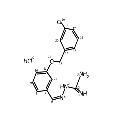 Cl.N=C(N)N/N=C\c1cccc(OCc2cccc(Cl)c2)c1